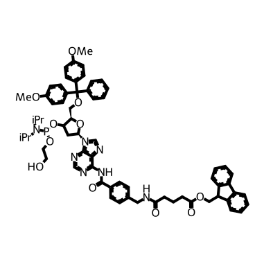 COc1ccc(C(OC[C@H]2O[C@@H](n3cnc4c(NC(=O)c5ccc(CNC(=O)CCCC(=O)OCC6c7ccccc7-c7ccccc76)cc5)ncnc43)CC2OP(OCCO)N(C(C)C)C(C)C)(c2ccccc2)c2ccc(OC)cc2)cc1